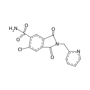 NS(=O)(=O)c1cc2c(cc1Cl)C(=O)N(Cc1ccccn1)C2=O